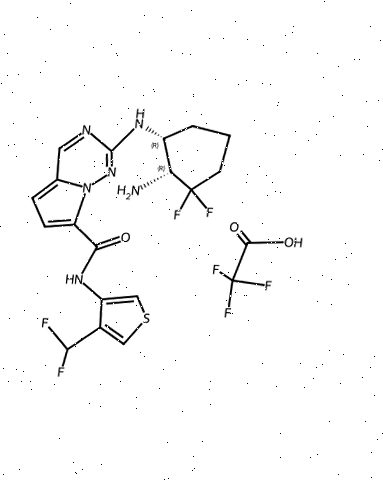 N[C@@H]1[C@H](Nc2ncc3ccc(C(=O)Nc4cscc4C(F)F)n3n2)CCCC1(F)F.O=C(O)C(F)(F)F